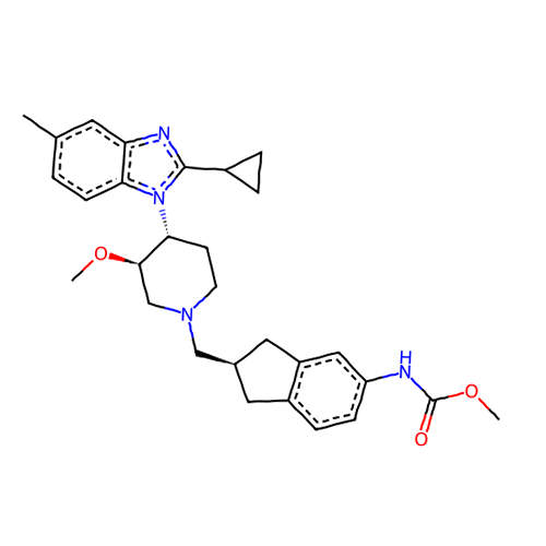 COC(=O)Nc1ccc2c(c1)C[C@H](CN1CC[C@@H](n3c(C4CC4)nc4cc(C)ccc43)[C@H](OC)C1)C2